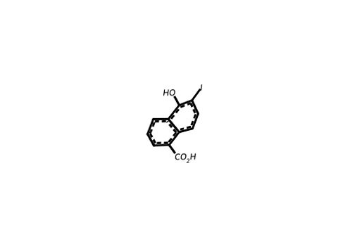 O=C(O)c1cccc2c(O)c(I)ccc12